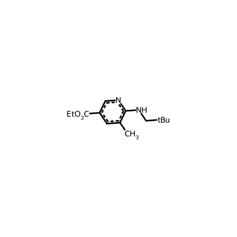 CCOC(=O)c1cnc(NCC(C)(C)C)c(C)c1